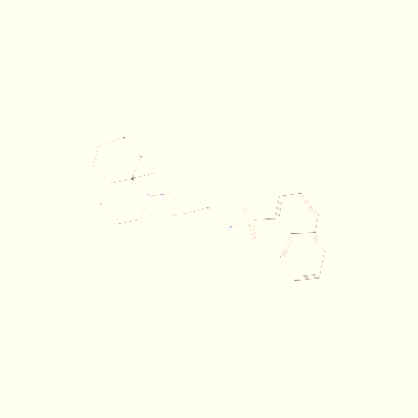 CC12CCCCC1CCCN2C[C@@H](O)CNS(=O)(=O)c1cccc2ccccc12